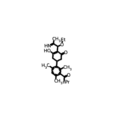 CCCC(=O)c1c(C)cc(C)c(C2CC(=O)C(C(OCC)C(C)=N)=C(O)C2)c1C